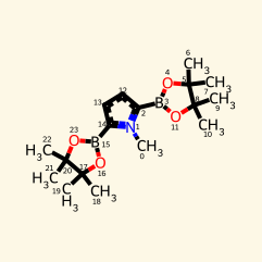 Cn1c(B2OC(C)(C)C(C)(C)O2)ccc1B1OC(C)(C)C(C)(C)O1